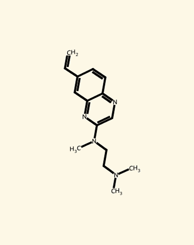 C=Cc1ccc2ncc(N(C)CCN(C)C)nc2c1